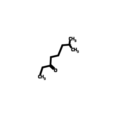 CCC(=O)CCC[C](C)C